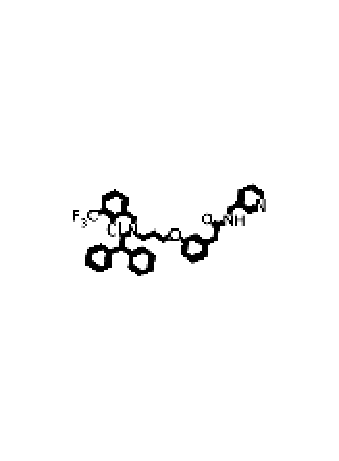 O=C(Cc1cccc(OCCCN(Cc2cccc(C(F)(F)F)c2Cl)CC(c2ccccc2)c2ccccc2)c1)NCc1cccnc1